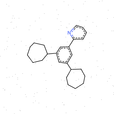 c1ccc(-c2cc(C3CCCCCC3)cc(C3CCCCCC3)c2)nc1